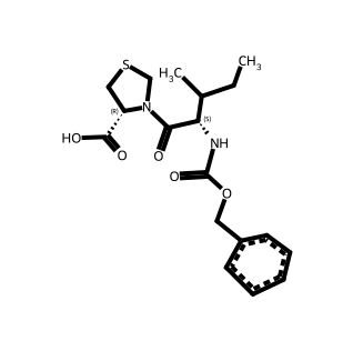 CCC(C)[C@H](NC(=O)OCc1ccccc1)C(=O)N1CSC[C@H]1C(=O)O